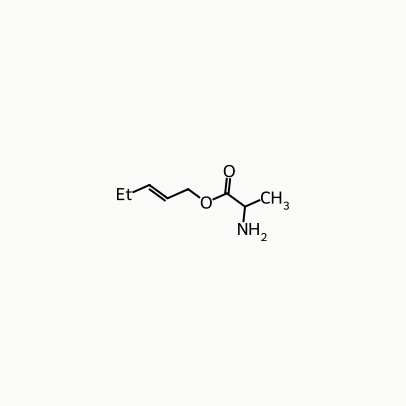 CCC=CCOC(=O)C(C)N